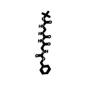 CC(C)(C)OC(=O)NCNC(=O)NC(=O)CNC(=O)OCc1ccccc1